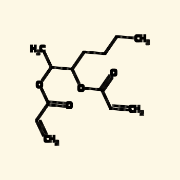 C=CC(=O)OC(C)C(CCCC)OC(=O)C=C